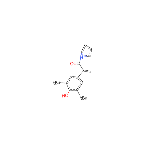 C=C(C(=O)n1cccc1)c1cc(C(C)(C)C)c(O)c(C(C)(C)C)c1